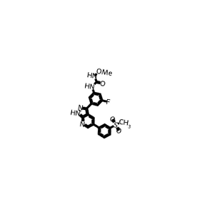 CONC(=O)Nc1cc(F)cc(-c2n[nH]c3ncc(-c4cccc(S(C)(=O)=O)c4)cc23)c1